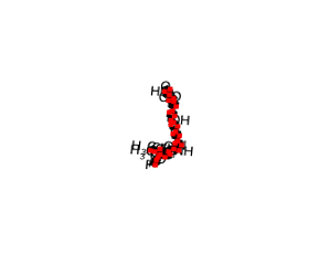 CC(C)(C)OC(=O)N(c1ccc(F)c(C(=O)c2c[nH]c3ncc(-c4ccc(N5CCC(O)(CN6CCC(c7ccc8c(c7)CN(C7CCC(=O)NC7=O)C8=O)CC6)CC5)cc4)cc23)c1F)S(=O)(=O)N1CC[C@@H](F)C1